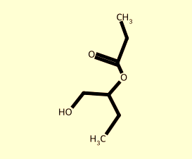 CCC(=O)OC(CC)CO